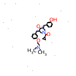 CCN(CC)CCOc1cccc(/C=C2\CN(C(=O)C3CC3)C/C(=C\c3cccc(O)c3)C2=O)c1